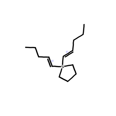 CCC/C=C/[Si]1(/C=C/CCC)CCCC1